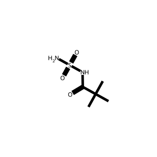 CC(C)(C)C(=O)NS(N)(=O)=O